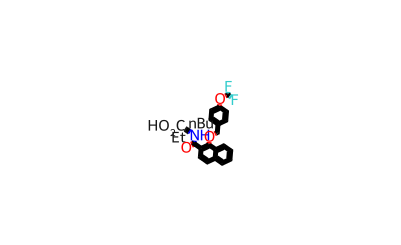 CCCCC(CC)(NC(=O)c1ccc2ccccc2c1OCc1ccc(OC(F)F)cc1)C(=O)O